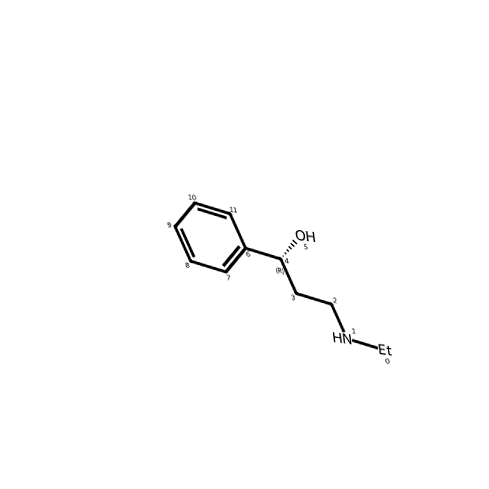 CCNCC[C@@H](O)c1ccccc1